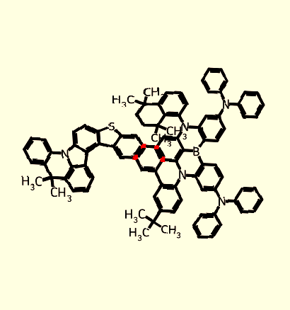 CC(C)(C)c1ccc(N2c3cc(N(c4ccccc4)c4ccccc4)ccc3B3c4ccc(N(c5ccccc5)c5ccccc5)cc4N(c4cccc5c4C(C)(C)CCC5(C)C)c4cc(-c5ccc6c(c5)sc5ccc7c(c8cccc9c8n7-c7ccccc7C9(C)C)c56)cc2c43)c(-c2ccccc2)c1